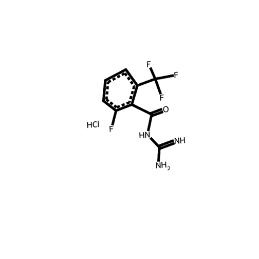 Cl.N=C(N)NC(=O)c1c(F)cccc1C(F)(F)F